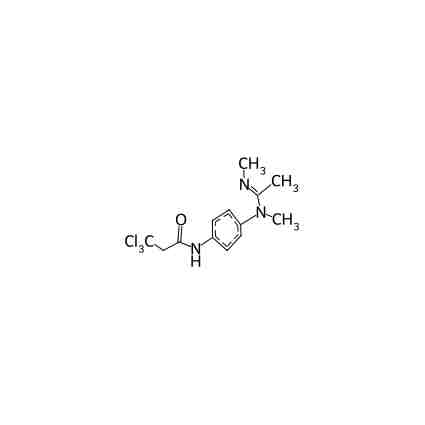 CN=C(C)N(C)c1ccc(NC(=O)CC(Cl)(Cl)Cl)cc1